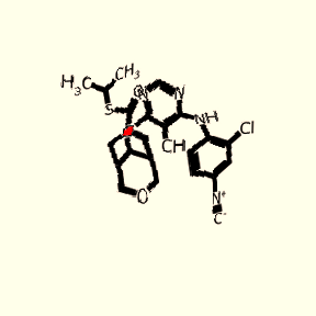 [C-]#[N+]c1ccc(Nc2ncnc(OC3C4COCC3CN(C(=O)SC(C)C)C4)c2C)c(Cl)c1